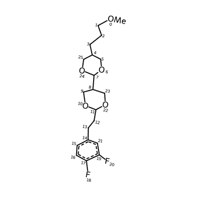 COCCCC1COC(C2COC(CCc3ccc(F)c(F)c3)OC2)OC1